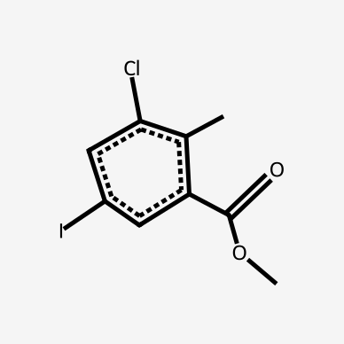 COC(=O)c1cc(I)cc(Cl)c1C